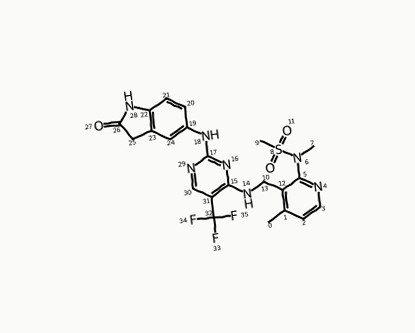 Cc1ccnc(N(C)S(C)(=O)=O)c1CNc1nc(Nc2ccc3c(c2)CC(=O)N3)ncc1C(F)(F)F